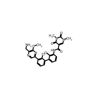 COc1nc(-c2cccc(-c3cccc(NC(=O)c4cn(C)c(=O)n(C)c4=O)c3Cl)c2Cl)cnc1CN